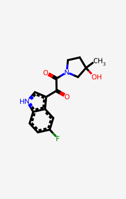 CC1(O)CCN(C(=O)C(=O)c2c[nH]c3ccc(F)cc23)C1